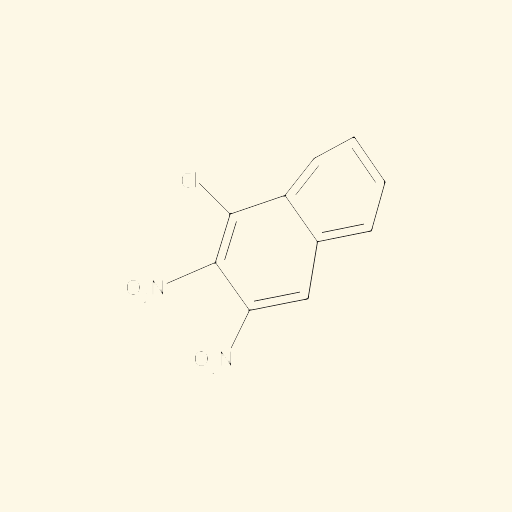 O=[N+]([O-])c1cc2ccccc2c(Cl)c1[N+](=O)[O-]